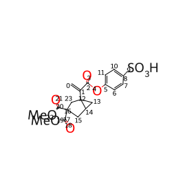 C=C(C(=O)Oc1ccc(S(=O)(=O)O)cc1)C12CC1CC(C(=O)OC)(C(=O)OC)C2